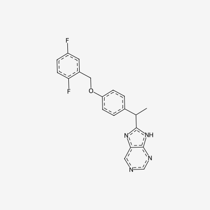 CC(c1ccc(OCc2cc(F)ccc2F)cc1)c1nc2cncnc2[nH]1